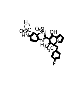 C[C@]1(Cc2ccc(F)cc2)C(=O)C(C2=NS(=O)(=O)c3cc(NS(C)(=O)=O)ccc3N2)=C(O)c2cccn21